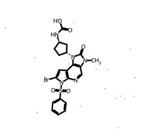 Cn1c(=O)n([C@@H]2CC[C@@H](NC(=O)O)C2)c2c3cc(Br)n(S(=O)(=O)c4ccccc4)c3ncc21